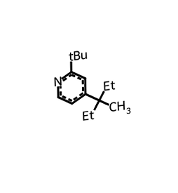 CCC(C)(CC)c1ccnc(C(C)(C)C)c1